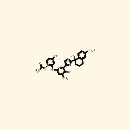 Cc1cc(Nc2cc(C(F)(F)F)cc[n+]2OC(=O)C(F)(F)F)nc(-c2cnc(C3(O)CCCc4cc(C(=O)O)ccc43)s2)c1Br